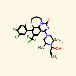 C=CC(O)N1C(C)CN(c2nc(=O)n3c4c(c(-c5cc(Br)c(F)cc5F)c(C(F)(F)F)cc24)SCCC3)C[C@@H]1C